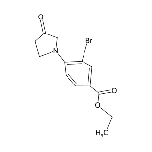 CCOC(=O)c1ccc(N2CCC(=O)C2)c(Br)c1